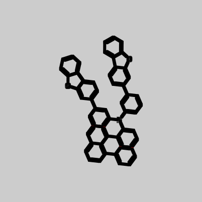 c1ccc(-c2cccc3cccc(-c4ccccc4N(c4cccc(-c5ccc6c(c5)oc5ccccc56)c4)c4cccc(-c5ccc6c(c5)oc5ccccc56)c4)c23)cc1